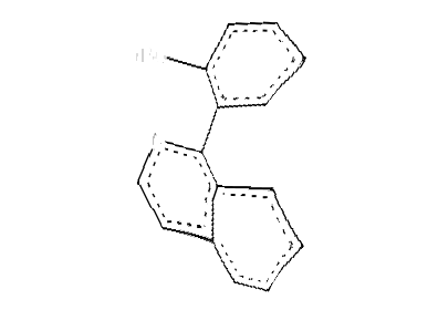 CCC(C)c1ccccc1-c1nccc2ccccc12